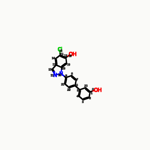 Oc1cccc(-c2ccc(-n3ncc4cc(Cl)c(O)cc43)cc2)c1